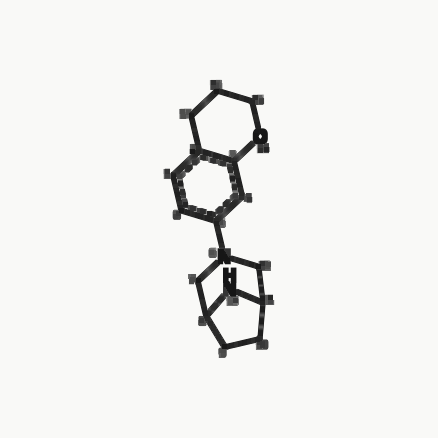 c1cc2c(cc1N1CC3CCC(C1)N3)OCCC2